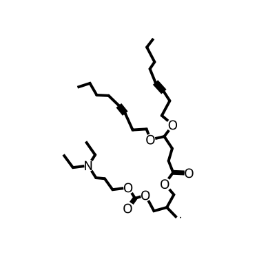 [CH2]C(COC(=O)CCC(OCCC#CCCCC)OCCC#CCCCC)COC(=O)OCCCN(CC)CC